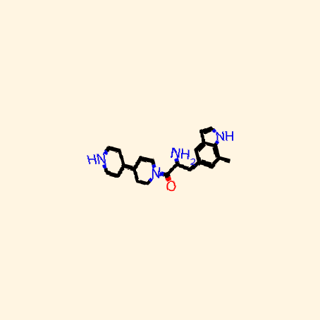 Cc1cc(CC(N)C(=O)N2CCC(C3CCNCC3)CC2)cc2cc[nH]c12